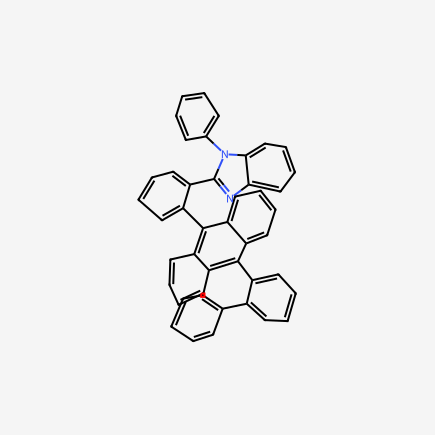 c1ccc(-c2ccccc2-c2c3ccccc3c(-c3ccccc3-c3nc4ccccc4n3-c3ccccc3)c3ccccc23)cc1